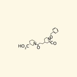 O=C=C1CC(CCC(=O)N2CCC[C@@H](C(=O)O)C2)CCN1OCc1ccccc1